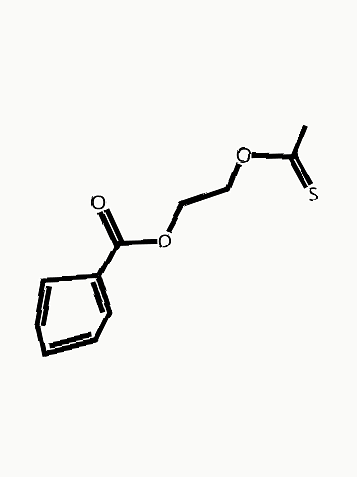 CC(=S)OCCOC(=O)c1ccccc1